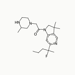 CCCC(C)(F)c1cc2c(cn1)C(C)(C)CN2C(=O)CN1CCNC(C)C1